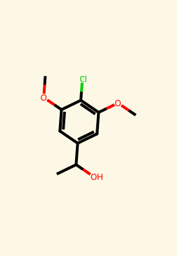 COc1cc(C(C)O)cc(OC)c1Cl